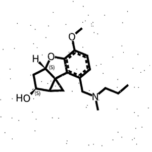 CCCN(C)Cc1ccc(OC)c2c1C13CC1[C@@H](O)C[C@@H]3O2